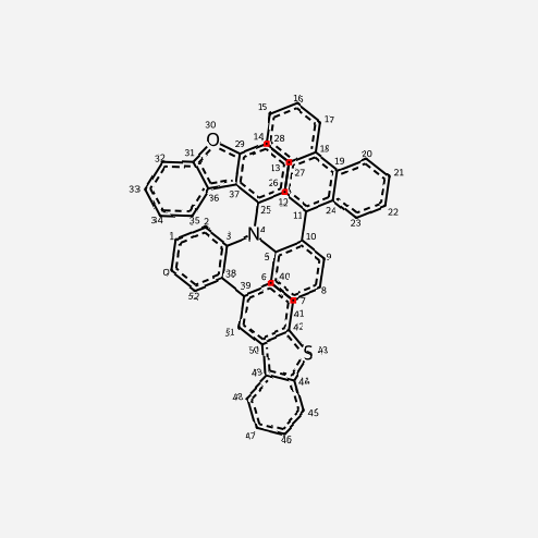 c1ccc(N(c2ccccc2-c2cc3ccccc3c3ccccc23)c2cccc3oc4ccccc4c23)c(-c2ccc3sc4ccccc4c3c2)c1